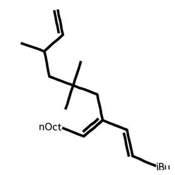 C=CC(C)CC(C)(C)CC(C=CC(C)CC)=CCCCCCCCC